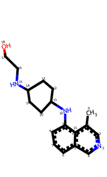 Cc1cncc2cccc(NC3CCC(NCCO)CC3)c12